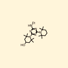 CCNc1nc(N2C(C)(C)CCCC2(C)C)nc(N2C(C)(C)CC(O)CC2(C)C)n1